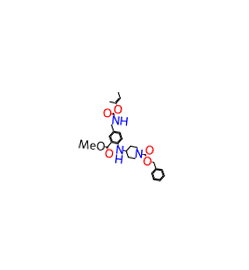 C/C=C(\C)OC(=O)NCc1ccc(NC2CCN(C(=O)OCc3ccccc3)CC2)c(C(=O)OC)c1